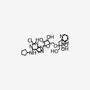 O=P(O)(O)C(CO)(Cc1ccccn1)OC[C@H]1O[C@@H](n2ncc3c(NC4CCCC4)nc(Cl)nc32)[C@H](O)[C@@H]1O